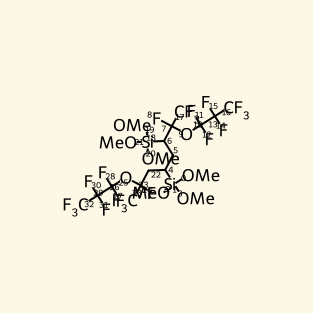 CO[Si](OC)(OC)C(CC(C(F)(OC(F)(F)C(F)(F)C(F)(F)F)C(F)(F)F)[Si](OC)(OC)OC)CC(F)(OC(F)(F)C(F)(F)C(F)(F)F)C(F)(F)F